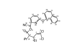 CCC(C=C(Cl)Cl)C(C(=O)OC(C#N)c1cccc(Oc2cccc3ccccc23)n1)C(C)C